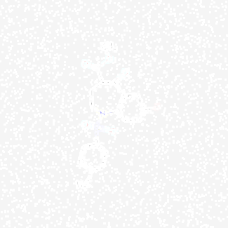 COC(=O)C1CCN(S(=O)(=O)c2ccc(C)cc2)c2ccc(F)cc2C1=O